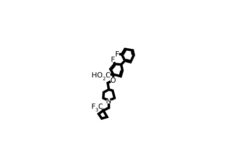 O=C(O)C1(OCC2CCN(CC3(C(F)(F)F)CCC3)CC2)C=CC(c2ccccc2F)C(F)=C1